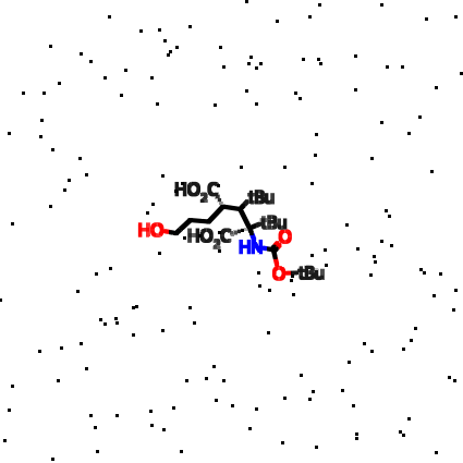 CC(C)(C)OC(=O)N[C@@](C(=O)O)(C([C@H](CCCO)C(=O)O)C(C)(C)C)C(C)(C)C